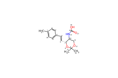 Cc1ccc(/C=C/[C@H]2OC(C)(C)OCC2NC(=O)O)cc1